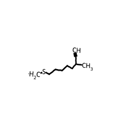 C#CC(C)CCCCCS[CH2]